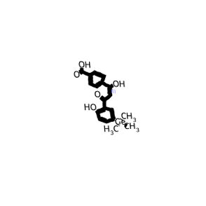 [CH3][Ge]([CH3])([CH3])[c]1ccc(O)c(C(=O)/C=C(/O)c2ccc(C(=O)O)cc2)c1